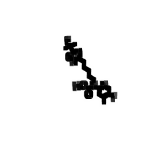 Cc1cc(N(CCCCCc2noc(C(C)(C)F)n2)C(=O)O)ncc1F